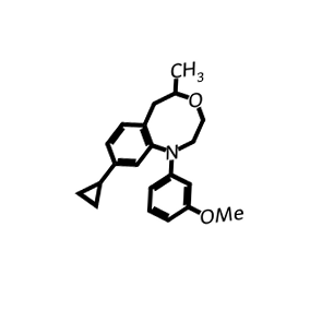 COc1cccc(N2CCOC(C)Cc3ccc(C4CC4)cc32)c1